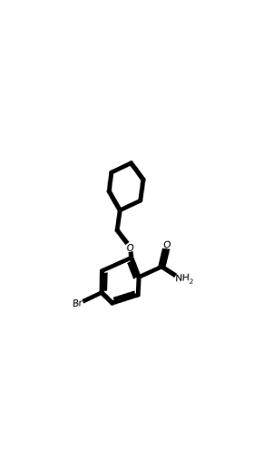 NC(=O)c1ccc(Br)cc1OCC1CCCCC1